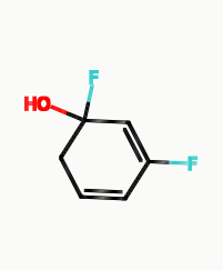 OC1(F)C=C(F)C=CC1